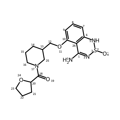 NC1=N[S+]([O-])Nc2cccc(OCC3CCCN(C(=O)C4CCCO4)C3)c21